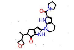 CC(C1COC1)C1Cc2cc(N3CCCc4cc(C(=O)N5CCCC5)[nH]c43)[nH]c2C1=O